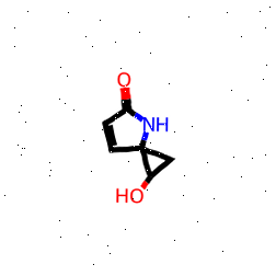 O=C1C=CC2(CC2O)N1